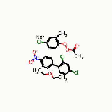 CC(=O)OOc1ccc(Cl)cc1C.CCOCC.O=[N+]([O-])c1ccc(-c2ccc(Cl)cc2Cl)cc1.[Na+]